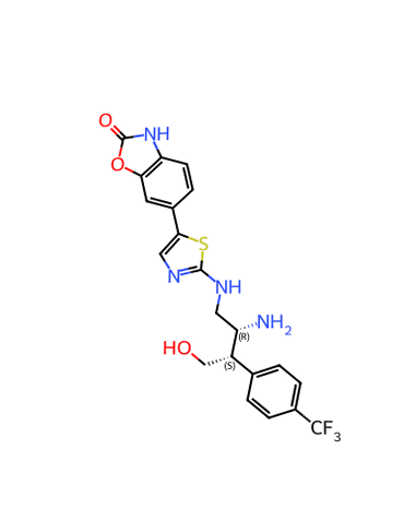 N[C@@H](CNc1ncc(-c2ccc3[nH]c(=O)oc3c2)s1)[C@@H](CO)c1ccc(C(F)(F)F)cc1